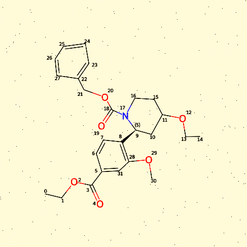 CCOC(=O)c1ccc([C@@H]2CC(OCC)CCN2C(=O)OCc2ccccc2)c(OC)c1